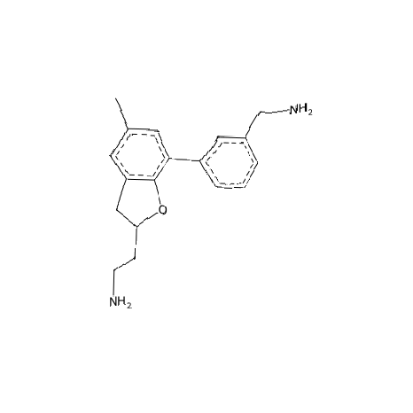 Cc1cc2c(c(-c3cccc(CN)c3)c1)OC(CCN)C2